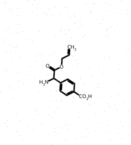 C=CCOC(=O)C(N)c1ccc(C(=O)O)cc1